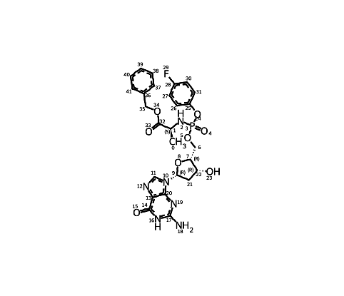 C[C@H](NP(=O)(OC[C@H]1O[C@@H](n2cnc3c(=O)[nH]c(N)nc32)C[C@H]1O)Oc1ccc(F)cc1)C(=O)OCc1ccccc1